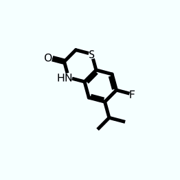 CC(C)c1cc2c(cc1F)SCC(=O)N2